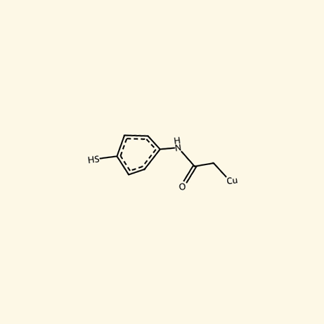 O=C([CH2][Cu])Nc1ccc(S)cc1